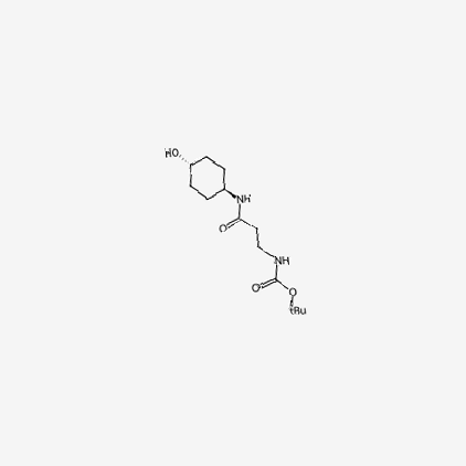 CC(C)(C)OC(=O)NCCC(=O)N[C@H]1CC[C@H](O)CC1